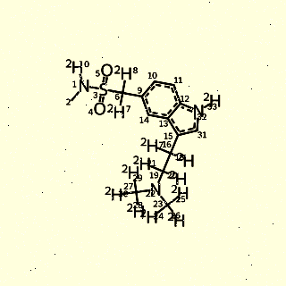 [2H]N(C)S(=O)(=O)C([2H])([2H])c1ccc2c(c1)c(C([2H])([2H])C([2H])([2H])N(C([2H])([2H])[2H])C([2H])([2H])[2H])cn2[2H]